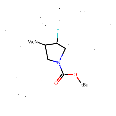 CNC1CN(C(=O)OC(C)(C)C)CC1F